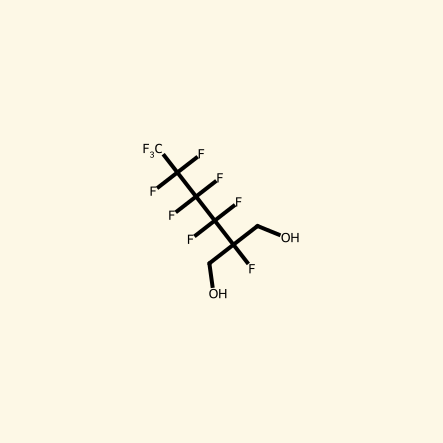 OCC(F)(CO)C(F)(F)C(F)(F)C(F)(F)C(F)(F)F